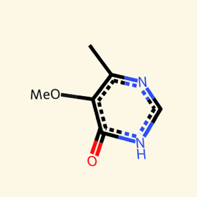 COc1c(C)nc[nH]c1=O